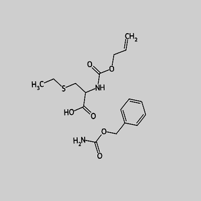 C=CCOC(=O)NC(CSCC)C(=O)O.NC(=O)OCc1ccccc1